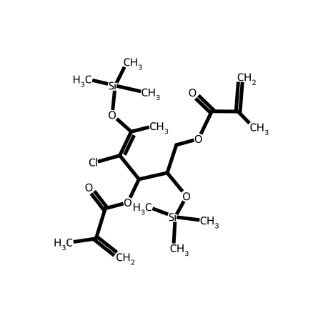 C=C(C)C(=O)OCC(O[Si](C)(C)C)C(OC(=O)C(=C)C)C(Cl)=C(C)O[Si](C)(C)C